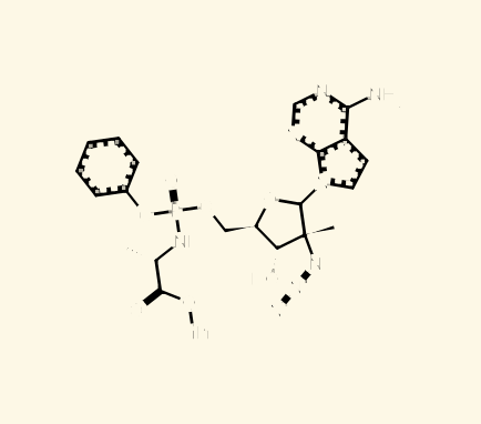 CC(C)OC(=O)[C@H](C)NP(=O)(OC[C@H]1OC(n2ccc3c(N)ncnc32)[C@](C)(N=[N+]=[N-])[C@@H]1O)Oc1ccccc1